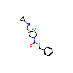 O=C(OCc1ccccc1)N1C[C@@H](CNC2CC2)[C@@H](F)C1